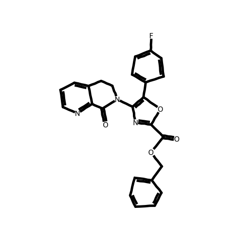 O=C(OCc1ccccc1)c1nc(N2CCc3cccnc3C2=O)c(-c2ccc(F)cc2)o1